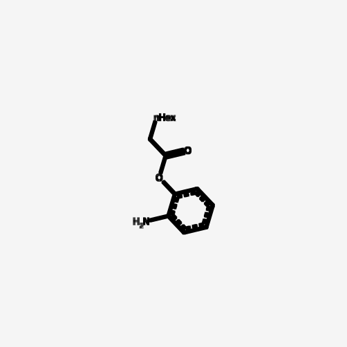 CCCCCCCC(=O)Oc1ccccc1N